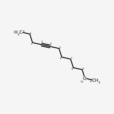 [CH2]CCC#CCCCCCOC